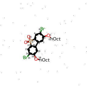 CCCCCCCCOc1cc2c(cc1Br)S(=O)(=O)c1cc(Br)c(OCCCCCCCC)cc1-2